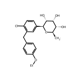 [CH2][C@H]1O[C@@H](c2ccc(Cl)c(Cc3ccc(OCC)cc3)c2)[C@H](O)[C@H](O)[C@@H]1O